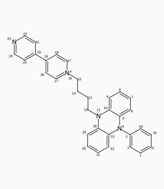 c1ccc(N2c3ccccc3N(CCCC[n+]3ccc(-c4ccncc4)cc3)c3ccccc32)cc1